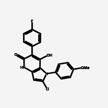 COc1ccc(-n2c(Cl)cc3[nH]c(=O)c(-c4ccc(F)cc4)c(O)c32)cc1